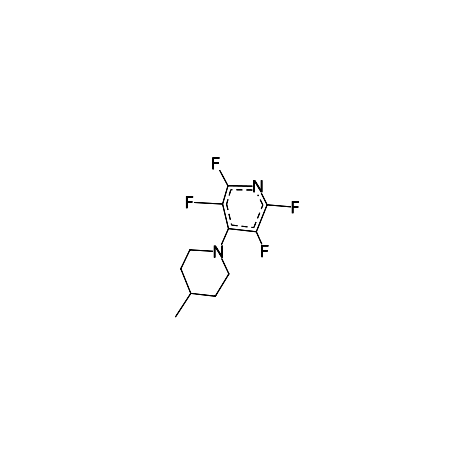 CC1CCN(c2c(F)c(F)nc(F)c2F)CC1